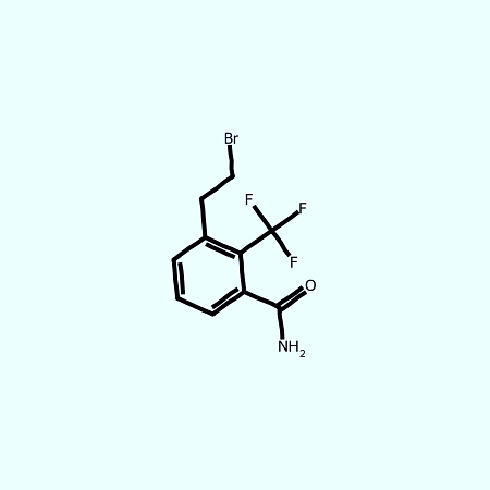 NC(=O)c1cccc(CCBr)c1C(F)(F)F